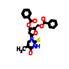 Cc1cn([C@@H]2C[C@H](OC(=O)c3ccccc3)[C@@H](COC(=O)c3ccccc3)O2)c(=S)[nH]c1=O